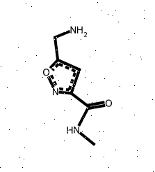 CNC(=O)c1cc(CN)on1